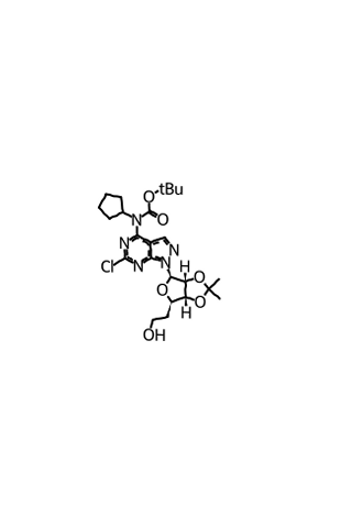 CC(C)(C)OC(=O)N(c1nc(Cl)nc2c1cnn2[C@@H]1O[C@H](CCO)[C@H]2OC(C)(C)O[C@H]21)C1CCCC1